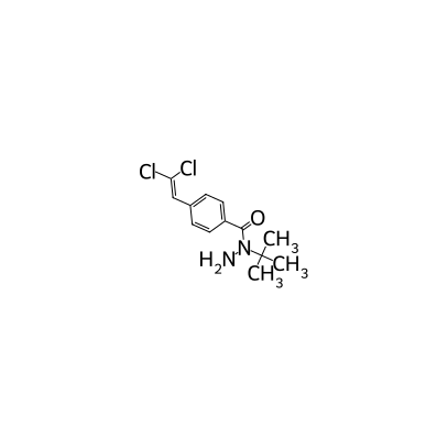 CC(C)(C)N(N)C(=O)c1ccc(C=C(Cl)Cl)cc1